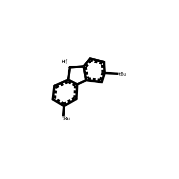 CC(C)(C)c1ccc2c(c1)-c1cc(C(C)(C)C)ccc1[CH]2.[Hf]